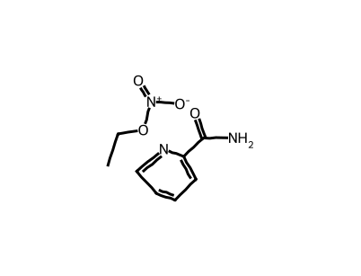 CCO[N+](=O)[O-].NC(=O)c1ccccn1